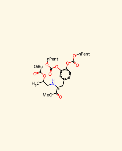 CCCCCOC(=O)Oc1ccc(C[C@H](NCC(C)OC(=O)OCC(C)C)C(=O)OC)cc1OC(=O)OCCCCC